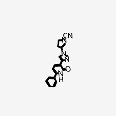 N#CN1CCC(n2cnc(-c3ccc(-c4ccccc4)[nH]c3=O)c2)C1